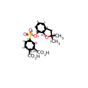 CC1(C)Cc2cccc(OS(=O)(=O)c3ccc(C(=O)O)c(C(=O)O)c3)c2O1